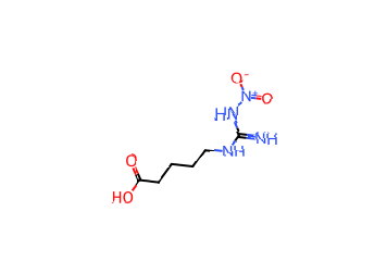 N=C(NCCCCC(=O)O)N[N+](=O)[O-]